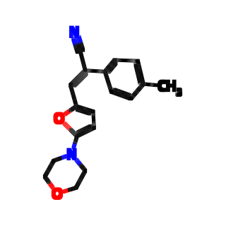 Cc1ccc(/C(C#N)=C\c2ccc(N3CCOCC3)o2)cc1